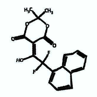 CC1(C)OC(=O)C(=C(O)C(F)(F)c2cccc3ccccc23)C(=O)O1